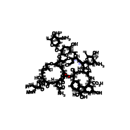 C=C/C1=C\C=C(/CCl)Oc2cc3cc(c2O[C@@H]2O[C@H](CO)[C@@H](O)C[C@H]2O[C@H]2C[C@](C)(N)[C@@H](O)[C@H](C)O2)Oc2ccc(cc2Cl)[C@@H](O)[C@@H](NC(=O)[C@@H](CC(C)C)NC)C(=O)N[C@@H](CC(N)=O)C(=O)N[C@H]3C(=O)N[C@H]2C(=O)N[C@H](C(=O)N[C@H](C(=O)O)c3cc(O)cc4c3-c3cc2ccc3C4(O)O)[C@@H]1O[C@H]1C[C@](C)(N)[C@@H](O)[C@H](C)O1